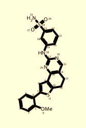 COc1ccccc1-c1cc2c(s1)CCc1cnc(Nc3cccc(S(N)(=O)=O)c3)nc1-2